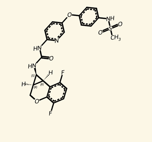 CS(=O)(=O)Nc1ccc(Oc2ccc(NC(=O)N[C@@H]3[C@@H]4COc5c(F)ccc(F)c5[C@@H]43)nc2)cc1